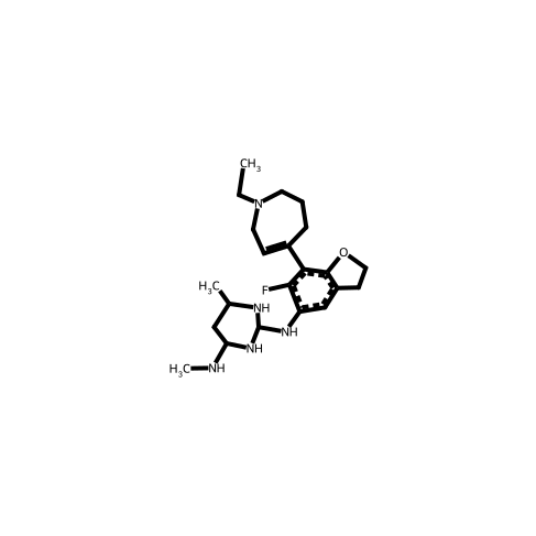 CCN1CC=C(c2c(F)c(NC3NC(C)CC(NC)N3)cc3c2OCC3)CCC1